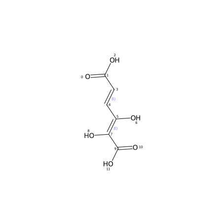 O=C(O)/C=C/C(O)=C(\O)C(=O)O